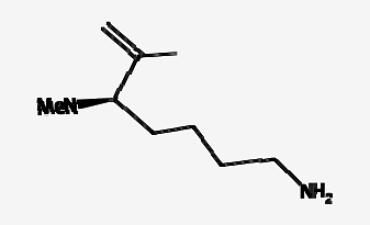 C=C(C)[C@@H](CCCCN)NC